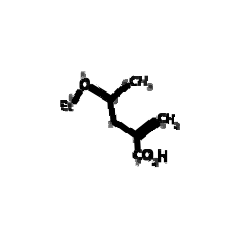 C=C(CC(C)OCC)C(=O)O